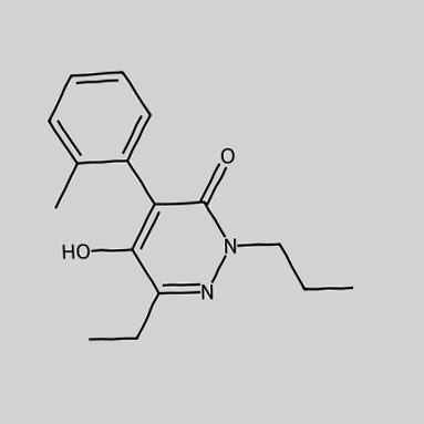 CCCn1nc(CC)c(O)c(-c2ccccc2C)c1=O